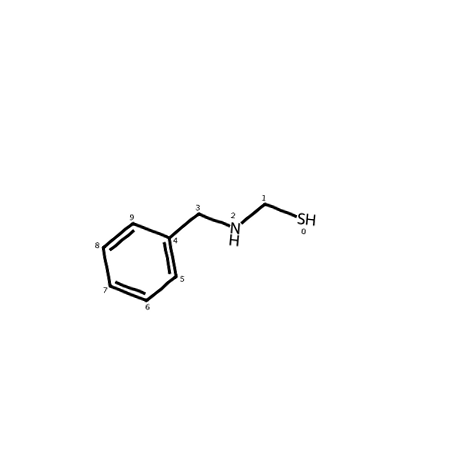 SCNCc1ccccc1